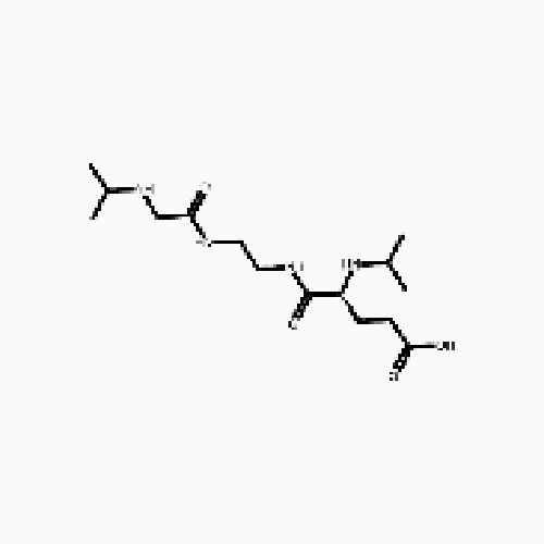 CC(C)NCC(=O)NCCNC(=O)[C@H](CCC(=O)O)NC(C)C